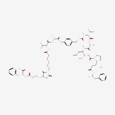 CC[C@H](C)C([C@@H](CC(=O)N1CCC[C@H]1[C@H](OC)[C@@H](C)C(=O)N[C@H](C)[C@@H](O)c1ccccc1)OC)N(C)C(=O)[C@H](C)NC(=O)[C@H](C(C)C)N(C)C(=O)OCc1ccc(NC(=O)[C@H](C)NC(=O)[C@@H](NC(=O)CCCCCN2C(=O)CC(SCCC(=O)N[C@H](Cc3ccccc3)C(N)=O)C2=O)C(C)C)cc1